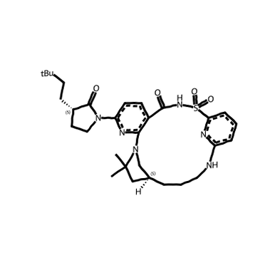 CC(C)(C)CC[C@H]1CCN(c2ccc3c(n2)N2C[C@@H](CCCNc4cccc(n4)S(=O)(=O)NC3=O)CC2(C)C)C1=O